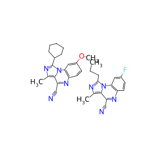 CCCc1nc(C)c2c(C#N)nc3ccc(F)cc3n12.COc1ccc2nc(C#N)c3c(C)nc(C4CCCCC4)n3c2c1